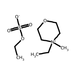 CCOS(=O)(=O)[O-].CC[N+]1(C)CCOCC1